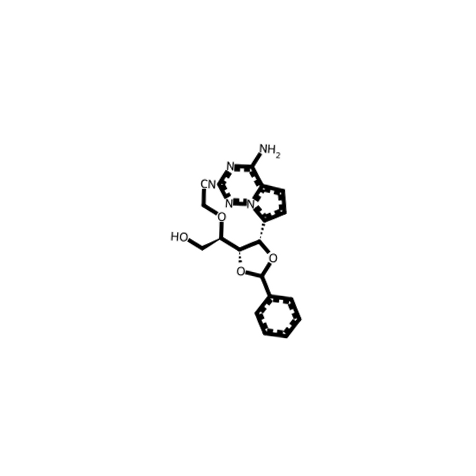 N#CCO[C@H](CO)[C@H]1OC(c2ccccc2)O[C@H]1c1ccc2c(N)ncnn12